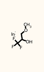 COCC(O)C(F)(F)F.[In]